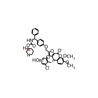 COc1ccc([C@H](Cc2c(Cl)c[n+](O)cc2Cl)c2cc(COc3ccc(C(NC(=O)O[C@H]4CN5CCC4CC5)c4ccccc4)cc3)oc2C(=O)[O-])cc1OC